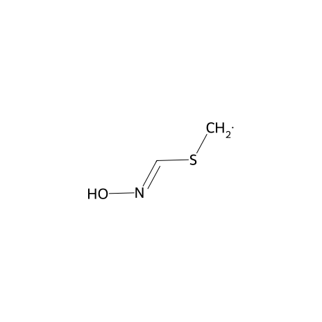 [CH2]SC=NO